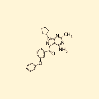 Cc1nc(N)c2c(C(=O)c3cccc(Oc4ccccc4)c3)nn(C3CCCC3)c2n1